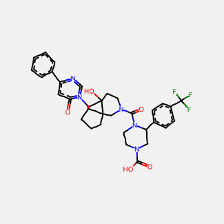 O=C(O)N1CCN(C(=O)N2CCC(O)(Cn3cnc(-c4ccccc4)cc3=O)C3(CCCC3)C2)C(c2ccc(C(F)(F)F)cc2)C1